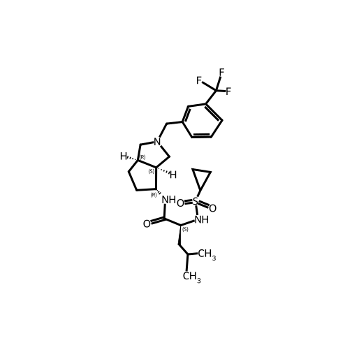 CC(C)C[C@H](NS(=O)(=O)C1CC1)C(=O)N[C@@H]1CC[C@H]2CN(Cc3cccc(C(F)(F)F)c3)C[C@H]21